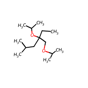 CCC(COC(C)C)(CC(C)C)OC(C)C